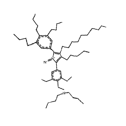 CCCCCCCCCCC1=C(c2cc(CCCC)c(CCCC)c(CCCC)c2)[N+](=[N-])C(c2cc(CC)c(CC)c(CC)c2)=C1CCCCC.CCC[CH2][Ni][CH2]CCC